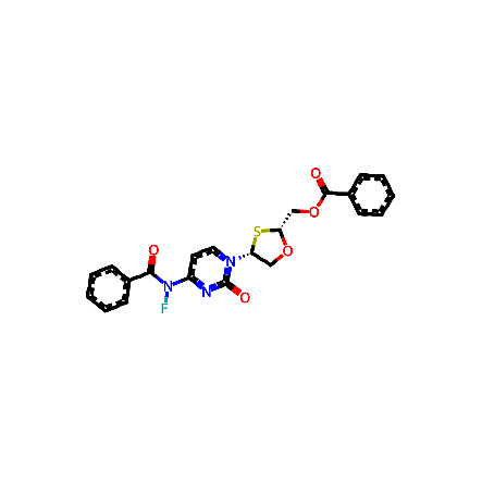 O=C(OC[C@@H]1OC[C@H](n2ccc(N(F)C(=O)c3ccccc3)nc2=O)S1)c1ccccc1